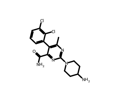 Cc1nc(N2CCC(N)CC2)nc(C(N)=O)c1-c1cccc(Cl)c1Cl